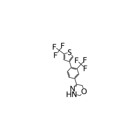 FC(F)(F)c1cc(-c2ccc(C3=NNCOC3)cc2C(F)(F)F)cs1